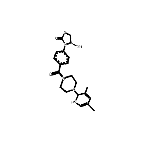 CC1=CNC(N2CCN(C(=O)c3ccc(N4C(=O)OC[C@H]4O)cc3)CC2)C(C)=C1